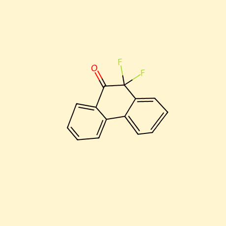 O=C1c2ccccc2-c2ccccc2C1(F)F